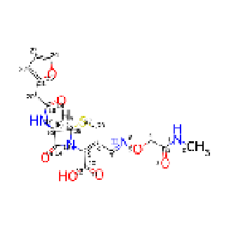 CNC(=O)CO/N=C/C1=C(C(=O)O)N2C(=O)[C@@H](NC(=O)Cc3ccco3)[C@H]2SC1